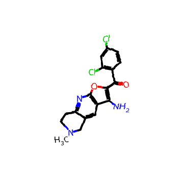 CN1CCc2nc3oc(C(=O)c4ccc(Cl)cc4Cl)c(N)c3cc2C1